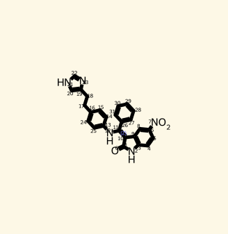 O=C1Nc2ccc([N+](=O)[O-])cc2/C1=C(/Nc1ccc(CCc2c[nH]cn2)cc1)c1ccccc1